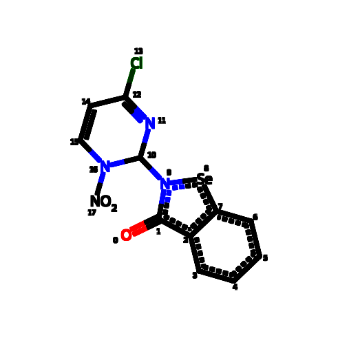 O=c1c2ccccc2[se]n1C1N=C(Cl)C=CN1[N+](=O)[O-]